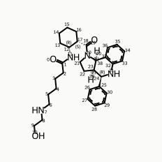 O=C(CCCCCNCCO)N[C@@H]1CCCC[C@@H]1C(=O)N1CC[C@@H]2[C@H](c3ccccc3)Nc3ccccc3[C@@H]21